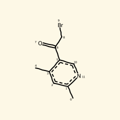 Cc1cc(C)c(C(=O)CBr)cn1